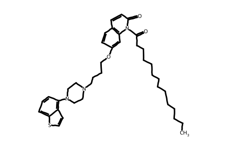 CCCCCCCCCCCCCC(=O)n1c(=O)ccc2ccc(OCCCCN3CCN(c4cccc5sccc45)CC3)cc21